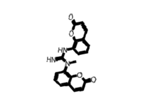 CN(C(=N)Nc1cccc2ccc(=O)oc12)c1cccc2ccc(=O)oc12